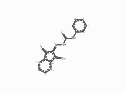 O=C(NN=c1c(=O)c2nccnc2c1=O)Nc1ccccc1